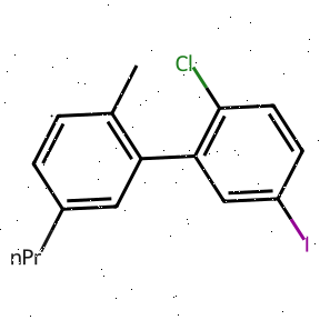 CCCc1c[c]c(C)c(-c2cc(I)ccc2Cl)c1